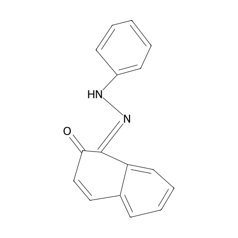 O=C1C=Cc2ccccc2/C1=N/Nc1ccccc1